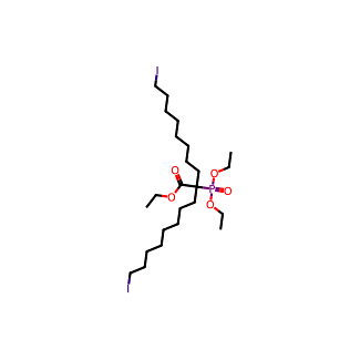 CCOC(=O)C(CCCCCCCCI)(CCCCCCCCI)P(=O)(OCC)OCC